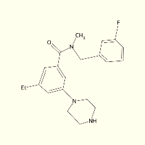 CCc1cc(C(=O)N(C)Cc2cccc(F)c2)cc(N2CCNCC2)c1